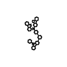 c1ccc(-n2c3ccccc3c3ccc(-c4cccc(-c5ccc(N(c6ccc7c(c6)oc6ccccc67)c6cccc7c6sc6ccccc67)cc5)c4)cc32)cc1